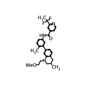 COCCN1CC(C)Cc2ccc(-c3cc(NC(=O)c4ccnc(C(C)(F)F)c4)ccc3C)cc21